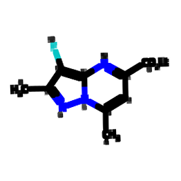 CCOC(=O)c1cc(C)n2nc(C)c(F)c2n1